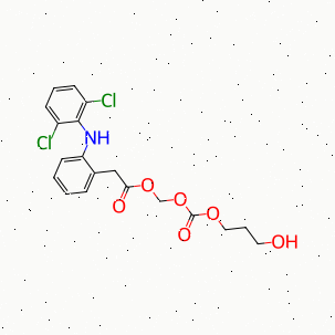 O=C(Cc1ccccc1Nc1c(Cl)cccc1Cl)OCOC(=O)OCCCO